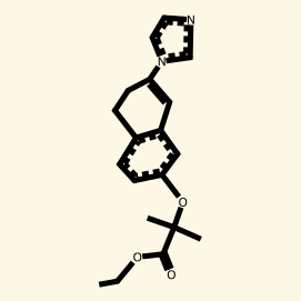 CCOC(=O)C(C)(C)Oc1ccc2c(c1)C=C(n1ccnc1)CC2